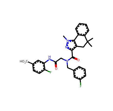 Cn1nc(C(=O)N(CC(=O)Nc2cc(C(=O)O)ccc2F)Cc2cccc(F)c2)c2c1-c1ccccc1C(C)(C)C2